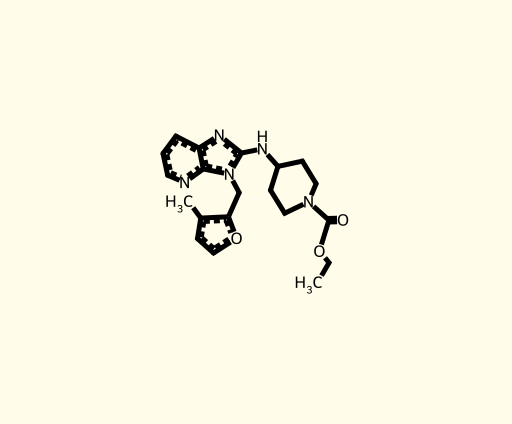 CCOC(=O)N1CCC(Nc2nc3cccnc3n2Cc2occc2C)CC1